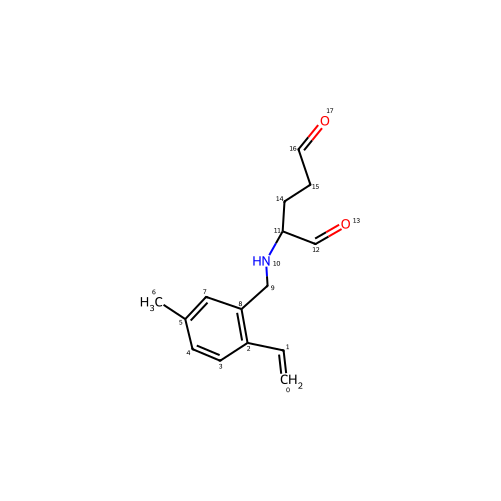 C=Cc1ccc(C)cc1CNC(C=O)CCC=O